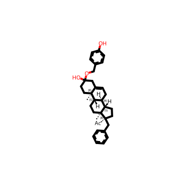 CC(=O)[C@@]1(Cc2ccccc2)CC[C@H]2[C@@H]3CC=C4CC(O)(OCc5ccc(O)cc5)CC[C@]4(C)[C@H]3CC[C@@]21C